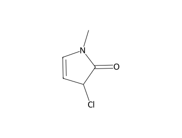 CN1C=CC(Cl)C1=O